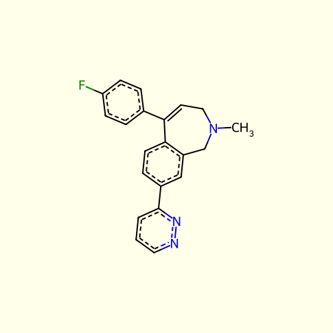 CN1CC=C(c2ccc(F)cc2)c2ccc(-c3cccnn3)cc2C1